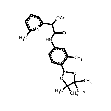 CC(=O)OC(C(=O)Nc1ccc(B2OC(C)(C)C(C)(C)O2)c(C)c1)c1cccc(C)n1